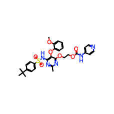 COc1ccccc1Oc1c(NS(=O)(=O)c2ccc(C(C)(C)C)cc2)nc(C)nc1OCCOC(=O)Nc1ccncc1